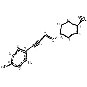 CC[C@H]1CC[C@H](C=CC#Cc2ccc(F)cc2)CC1